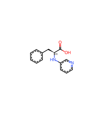 O=C(O)[C@H](Cc1ccccc1)Nc1cccnc1